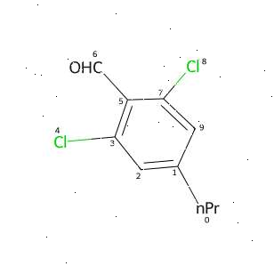 [CH2]CCc1cc(Cl)c(C=O)c(Cl)c1